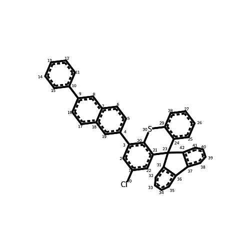 Clc1cc(-c2ccc3cc(-c4ccccc4)ccc3c2)c2c(c1)C1(c3ccccc3S2)c2ccccc2-c2ccccc21